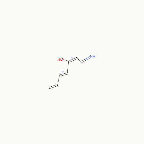 C=C/C=C/C(O)=C\C=N